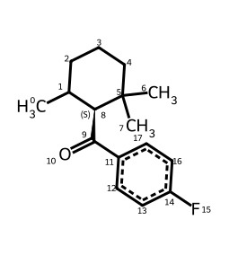 CC1CCCC(C)(C)[C@H]1C(=O)c1ccc(F)cc1